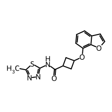 Cc1nnc(NC(=O)C2CC(Oc3cccc4ccoc34)C2)s1